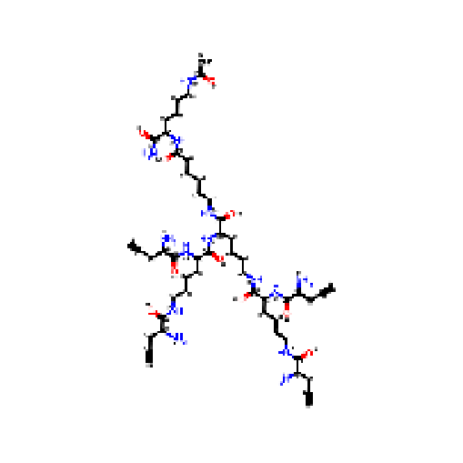 C#CCC(N)C(=O)NCCCCC(NC(=O)C(N)CC#C)C(=O)NCCCCC(NC(=O)C(CCCCNC(=O)C(N)CC#C)NC(=O)C(N)CC#C)C(=O)NCCCCCC(=O)NC(CCCCNC(=O)CCC)C(N)=O